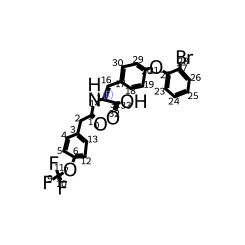 O=C(Cc1ccc(OC(F)(F)F)cc1)N/C(=C/c1ccc(Oc2ccccc2Br)cc1)C(=O)O